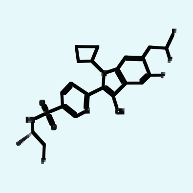 C[C@@H](CF)NS(=O)(=O)c1ccc(-c2c(C#N)c3cc(F)c(CC(F)F)cc3n2C2CCC2)nc1